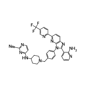 N#Cc1nccc(NC2CCN(Cc3ccc(-n4c(-c5cccnc5N)nc5ccc(-c6ccc(C(F)(F)F)cn6)nc54)cc3)CC2)n1